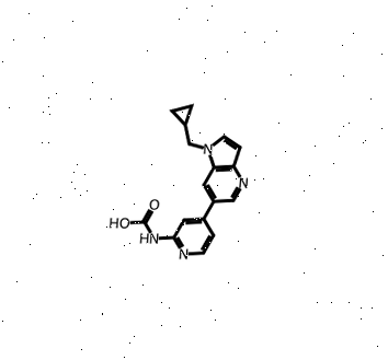 O=C(O)Nc1cc(-c2cnc3ccn(CC4CC4)c3c2)ccn1